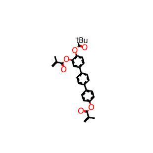 C=C(C)C(=O)Oc1ccc(-c2ccc(-c3ccc(OC(=O)C(C)(C)C)c(OC(=O)C(=C)C)c3)cc2)cc1